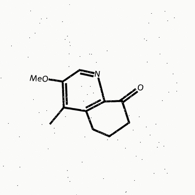 COc1cnc2c(c1C)CCCC2=O